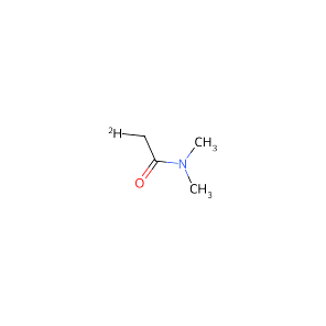 [2H]CC(=O)N(C)C